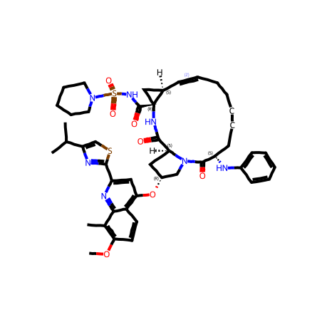 COc1ccc2c(O[C@@H]3C[C@H]4C(=O)N[C@]5(C(=O)NS(=O)(=O)N6CCCCC6)C[C@H]5/C=C\CCCCC[C@H](Nc5ccccc5)C(=O)N4C3)cc(-c3nc(C(C)C)cs3)nc2c1C